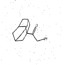 CC(C)CC(=O)C12CC3CC(CC(C3)C1)C2